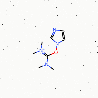 CN(C)C(On1ccnc1)=[N+](C)C